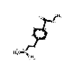 COC(=O)c1ccc(CCN(C)C)cc1